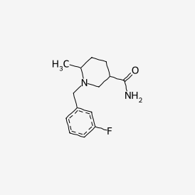 CC1CCC(C(N)=O)CN1Cc1cccc(F)c1